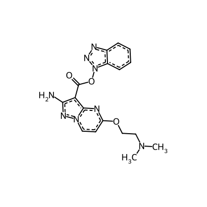 CN(C)CCOc1ccn2nc(N)c(C(=O)On3nnc4ccccc43)c2n1